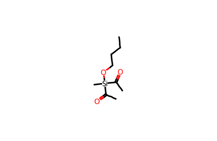 CCCCO[Si](C)(C(C)=O)C(C)=O